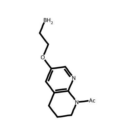 BCCOc1cnc2c(c1)CCCN2C(C)=O